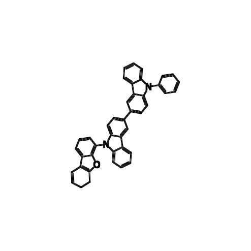 C1=Cc2c(oc3c(-n4c5ccccc5c5cc(-c6ccc7c(c6)c6ccccc6n7-c6ccccc6)ccc54)cccc23)CC1